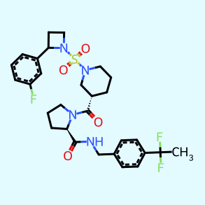 CC(F)(F)c1ccc(CNC(=O)[C@H]2CCCN2C(=O)[C@H]2CCCN(S(=O)(=O)N3CCC3c3cccc(F)c3)C2)cc1